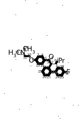 CC(C)C[C@@H](C(=O)c1ccc(OCCN(C)C)cc1)c1ccccc1-c1ccc(F)cc1